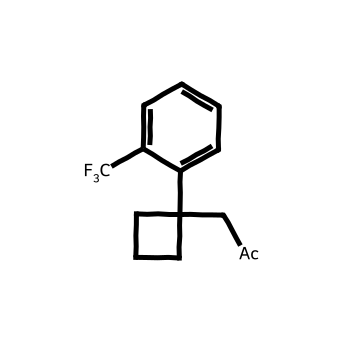 CC(=O)CC1(c2ccccc2C(F)(F)F)CCC1